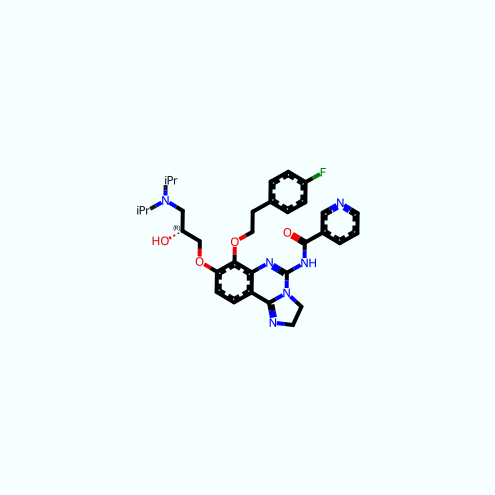 CC(C)N(C[C@@H](O)COc1ccc2c(c1OCCc1ccc(F)cc1)N=C(NC(=O)c1cccnc1)N1CCN=C21)C(C)C